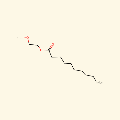 [CH2]COCCOC(=O)CCCCCCCCCCCCCCCCC